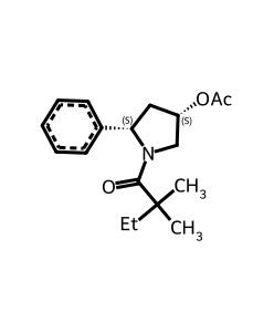 CCC(C)(C)C(=O)N1C[C@@H](OC(C)=O)C[C@H]1c1ccccc1